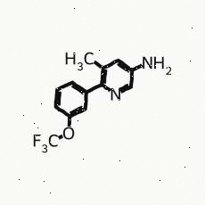 Cc1cc(N)cnc1-c1cccc(OC(F)(F)F)c1